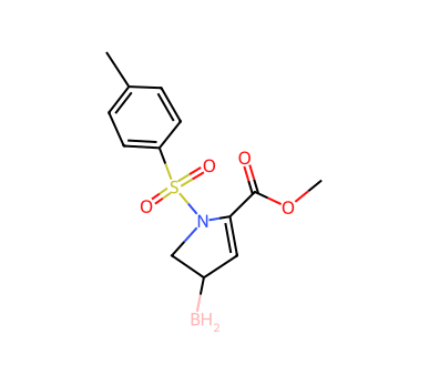 BC1C=C(C(=O)OC)N(S(=O)(=O)c2ccc(C)cc2)C1